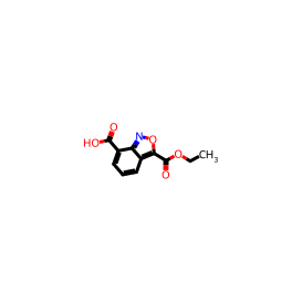 CCOC(=O)c1onc2c(C(=O)O)cccc12